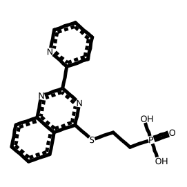 O=P(O)(O)CCSc1nc(-c2ccccn2)nc2ccccc12